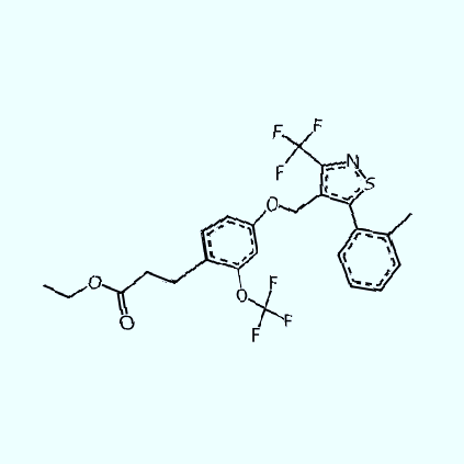 CCOC(=O)CCc1ccc(OCc2c(C(F)(F)F)nsc2-c2ccccc2C)cc1OC(F)(F)F